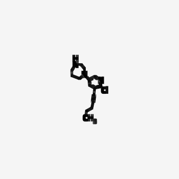 CCCC#Cc1cc(N2CCCNCC2)cnc1Cl